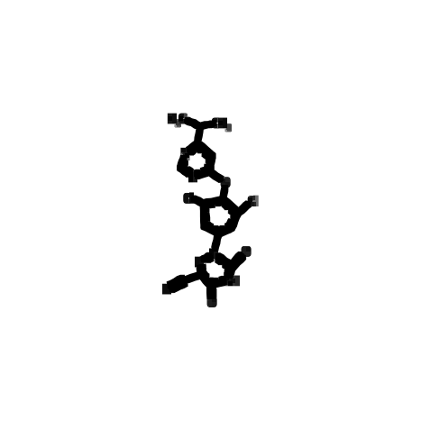 CC(C)c1cc(Oc2c(Cl)cc(-n3nc(C#N)c(=O)[nH]c3=O)cc2Cl)ncn1